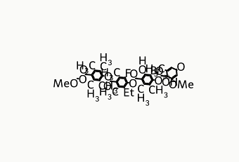 CCc1c(C)c(C(=O)Oc2c(C)c(C)c(C(=O)OCOC)c(C)c2C)c(C)c(F)c1OC(=O)c1c(C)c(C)c(OC(=O)[C@@]2(O)C(C)=CC(=O)C=C2OC)c(Br)c1O